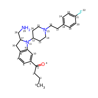 CCCC(=O)c1ccc2c(c1)N(C1CCN(CCc3ccc(F)cc3)CC1)C(CN)C2